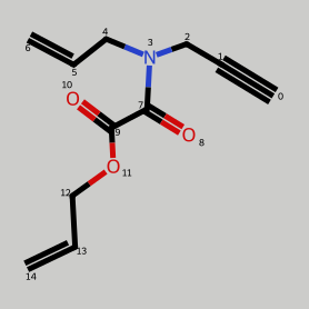 C#CCN(CC=C)C(=O)C(=O)OCC=C